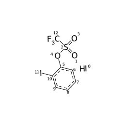 I.O=S(=O)(Oc1ccccc1I)C(F)(F)F